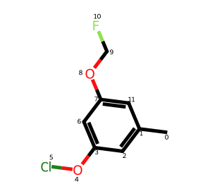 Cc1cc(OCl)cc(OCF)c1